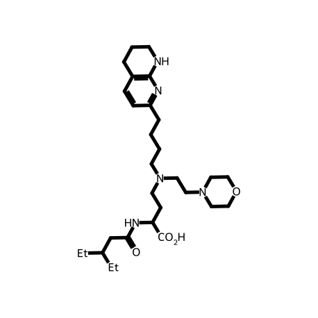 CCC(CC)CC(=O)NC(CCN(CCCCc1ccc2c(n1)NCCC2)CCN1CCOCC1)C(=O)O